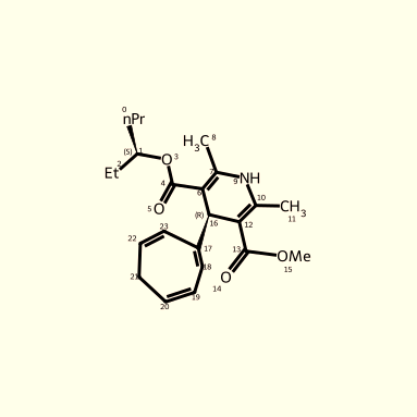 CCC[C@H](CC)OC(=O)C1=C(C)NC(C)=C(C(=O)OC)[C@H]1C1=CC=CCC=C1